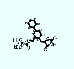 CN(C(=O)OCc1cc(-c2ccccc2)ccc1CC1SC(=O)NC1=O)C(C)(C)C